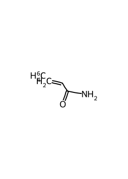 C=CC(N)=O.[6CH4]